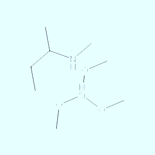 CCC(C)NC.CO[SiH](OC)OC